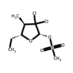 CC[C@H]1O[C@@H](OS(C)(=O)=O)C(Cl)(Cl)[C@@H]1C